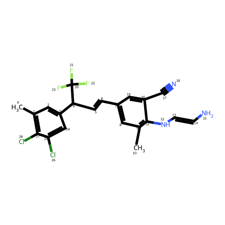 Cc1cc(C(/C=C/c2cc(C)c(N/C=C/N)c(C#N)c2)C(F)(F)F)cc(Cl)c1Cl